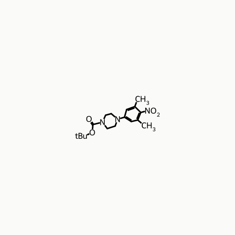 Cc1cc(N2CCN(C(=O)OC(C)(C)C)CC2)cc(C)c1[N+](=O)[O-]